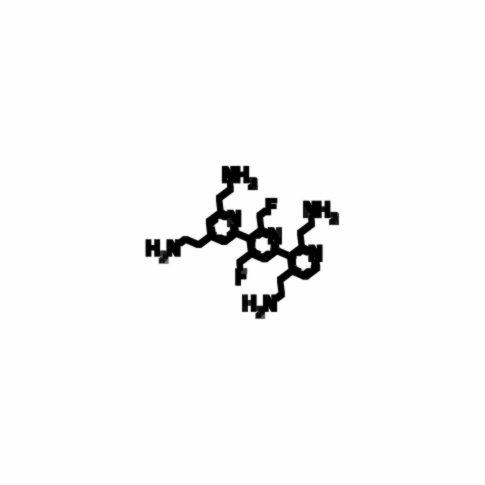 NCCc1cc(CCN)nc(-c2c(CF)cc(-c3c(CCN)ccnc3CCN)nc2CF)c1